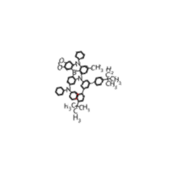 Cc1cc2c3c(c1)N(c1ccccc1)c1cc4c(cc1B3c1ccc(N(c3ccccc3)c3ccccc3)cc1N2c1cc(-c2ccc(C(C)(C)C)cc2)cc(-c2ccc(C(C)(C)C)cc2)c1)OCO4